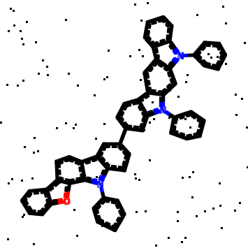 c1ccc(-n2c3ccccc3c3cc4c5ccc(-c6ccc7c(c6)c6ccc8c9ccccc9oc8c6n7-c6ccccc6)cc5n(-c5ccccc5)c4cc32)cc1